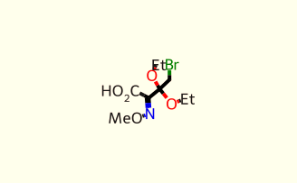 CCOC(CBr)(OCC)C(=NOC)C(=O)O